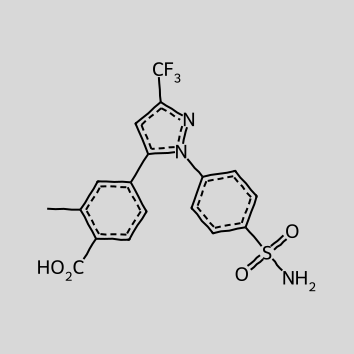 Cc1cc(-c2cc(C(F)(F)F)nn2-c2ccc(S(N)(=O)=O)cc2)ccc1C(=O)O